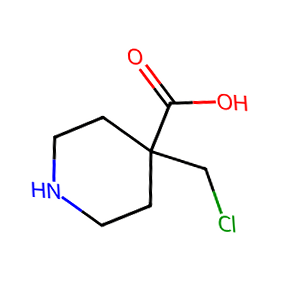 O=C(O)C1(CCl)CCNCC1